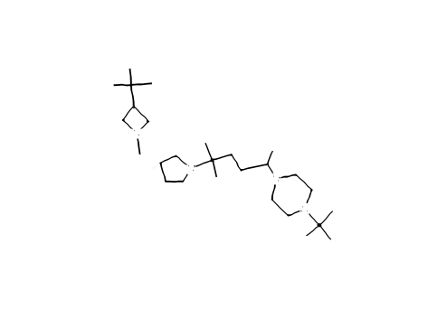 CC(CCC(C)(C)N1CC[C@H](CN2CC(C(C)(C)C)C2)C1)N1CCN(C(C)(C)C)CC1